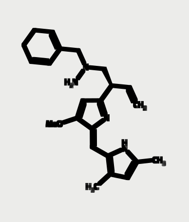 C=C[C@H](CN(N)CC1=CCCC=C1)C1=N/C(=C\c2[nH]c(C)cc2C)C(OC)=C1